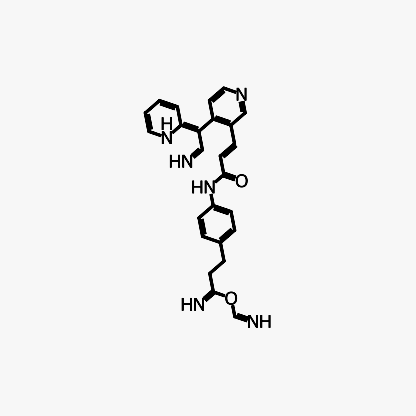 N=COC(=N)CCc1ccc(NC(=O)/C=C/c2cnccc2/C(C=N)=C2\C=CC=CN2)cc1